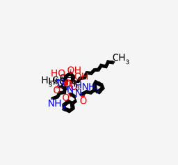 CCCCCCCCCCCC[C@@]1(ON(C(=O)[C@H](Cc2ccccc2)NC(=O)[C@@H](N)Cc2ccccc2)[C@@](C)(CCCCN)C(=O)N(C)C)O[C@H](C)[C@@H](O)[C@H](O)[C@H]1O